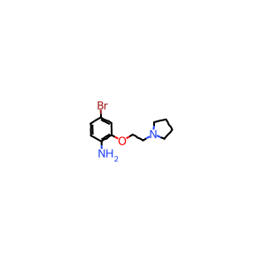 Nc1ccc(Br)cc1OCCN1CCCC1